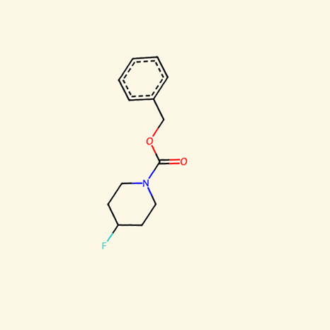 O=C(OCc1ccccc1)N1CCC(F)CC1